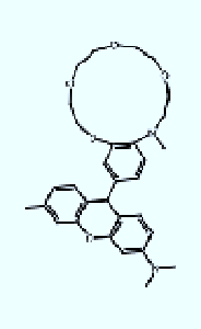 Cc1ccc2c(c1)Oc1cc(N(C)C)ccc1C2c1ccc2c(c1)OCCOCCOCCOCCN2C